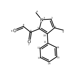 Cc1cn(C)c(C(=O)[C]=O)c1-c1ccccc1